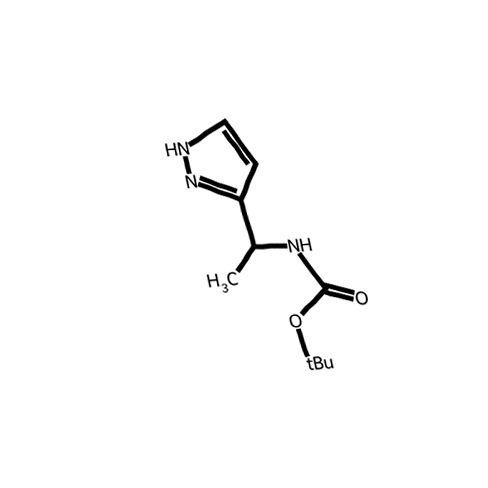 CC(NC(=O)OC(C)(C)C)c1cc[nH]n1